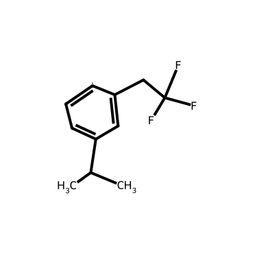 CC(C)c1cc[c]c(CC(F)(F)F)c1